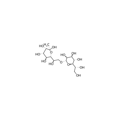 C[C@]1(O)O[C@H]([C@H](O)CO[C@H]2O[C@H]([C@H](O)CO)[C@@H](O)[C@H](O)[C@@H]2O)[C@@H](O)[C@H](O)[C@@H]1O